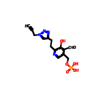 C#CCn1cc(CCc2ncc(COP(=O)(O)O)c(C=O)c2O)nn1